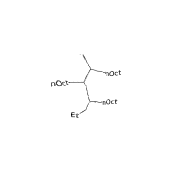 [CH2]C(CCCCCCCC)C(CCCCCCCC)C(CC)CCCCCCCC